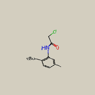 Cc1ccc(C(C)(C)C)c(NC(=O)CCl)c1